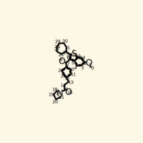 COc1ccc2c(C(=O)c3ccc(CCC(=O)N4CCCC4)cc3)c(C3CCCCCC3)sc2c1